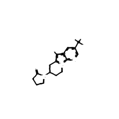 Cc1c2n(c3ncc(C(F)(F)F)cc13)CCC(N1CCCC1=O)C2